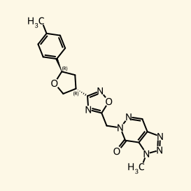 Cc1ccc([C@H]2C[C@H](c3noc(Cn4ncc5nnn(C)c5c4=O)n3)CO2)cc1